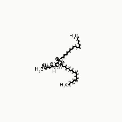 CCCCC/C=C\C/C=C\CCCCCCCCOC(=O)[C@@H]1C[C@@H](NC(=O)CCCN(C)C)CN1C(=O)CCCCCCC/C=C\C/C=C\CCCCC